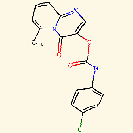 Cc1cccc2ncc(OC(=O)Nc3ccc(Cl)cc3)c(=O)n12